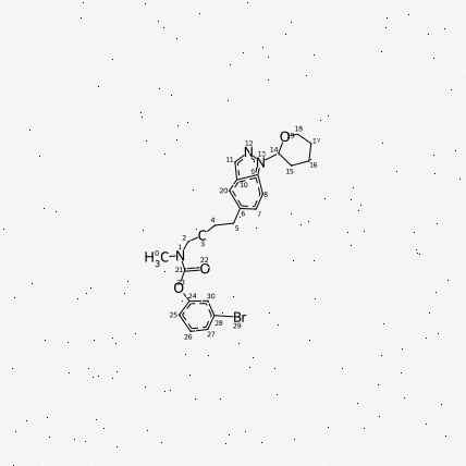 CN(CCCCc1ccc2c(cnn2C2CCCCO2)c1)C(=O)Oc1cccc(Br)c1